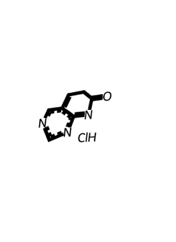 Cl.O=C1CC=c2cncnc2=N1